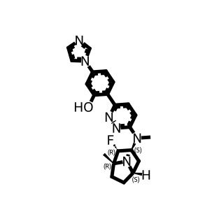 CN(c1ccc(-c2ccc(-n3ccnc3)cc2O)nn1)[C@H]1C[C@@H]2CC[C@](C)([C@@H]1F)N2C